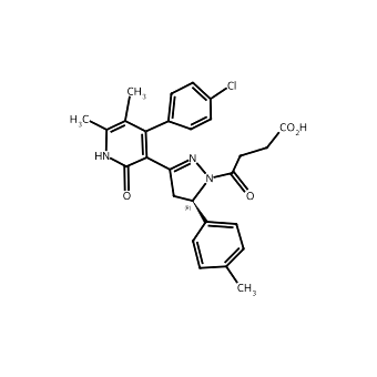 Cc1ccc([C@H]2CC(c3c(-c4ccc(Cl)cc4)c(C)c(C)[nH]c3=O)=NN2C(=O)CCC(=O)O)cc1